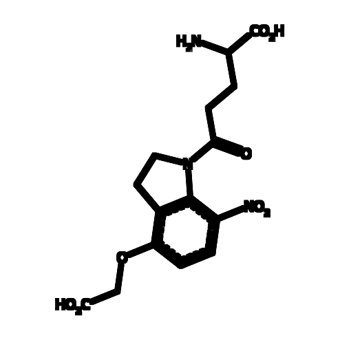 NC(CCC(=O)N1CCc2c(OCC(=O)O)ccc([N+](=O)[O-])c21)C(=O)O